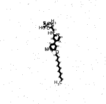 CCCCCCCCCCCOc1cccc(-c2ccnc(NCC(C)OP(O)(O)=S)c2)c1.N